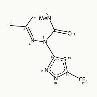 CNC(=O)N(N=C(C)C)c1nnc(C(F)(F)F)s1